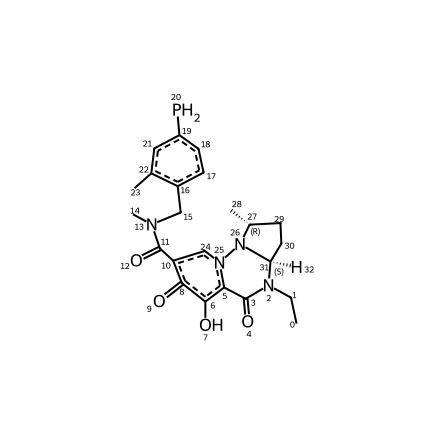 CCN1C(=O)c2c(O)c(=O)c(C(=O)N(C)Cc3ccc(P)cc3C)cn2N2[C@H](C)CC[C@@H]12